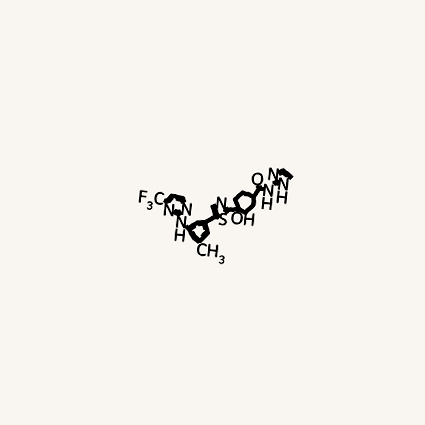 Cc1cc(Nc2nccc(C(F)(F)F)n2)cc(-c2cnc(C3(O)CCC(C(=O)Nc4ncc[nH]4)CC3)s2)c1